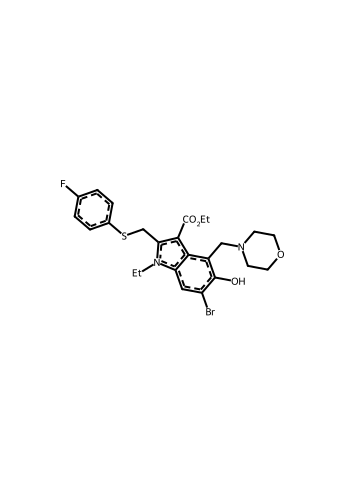 CCOC(=O)c1c(CSc2ccc(F)cc2)n(CC)c2cc(Br)c(O)c(CN3CCOCC3)c12